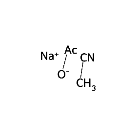 CC#N.CC(=O)[O-].[Na+]